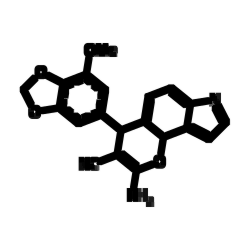 COc1cc(C2C3=CC=C4N=CC=C4C3OC(N)=C2C#N)cc2c1OCO2